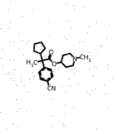 CN1CCC(OC(=O)C(C)(c2ccc(C#N)cc2)C2CCCC2)CC1